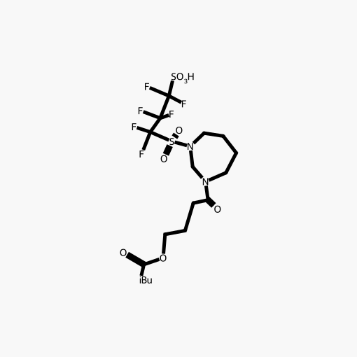 CCC(C)C(=O)OCCCC(=O)N1CCCCN(S(=O)(=O)C(F)(F)C(F)(F)C(F)(F)S(=O)(=O)O)C1